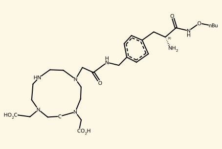 CCCCONC(=O)[C@H](N)Cc1ccc(CNC(=O)CN2CCNCCN(CC(=O)O)CCN(CC(=O)O)CC2)cc1